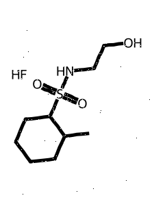 CC1CCCCC1S(=O)(=O)NCCO.F